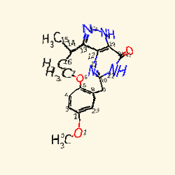 COc1ccc(OC)c(Cc2nc3c(C(C)C)n[nH]c3c(=O)[nH]2)c1